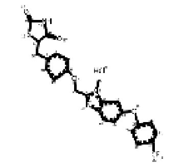 Cl.Cn1c(COc2ccc(CC3SC(=O)NC3=O)cc2)nc2ccc(Oc3ccc(C(F)(F)F)cc3)cc21